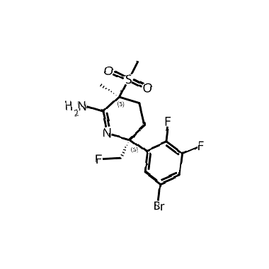 C[C@]1(S(C)(=O)=O)CC[C@@](CF)(c2cc(Br)cc(F)c2F)N=C1N